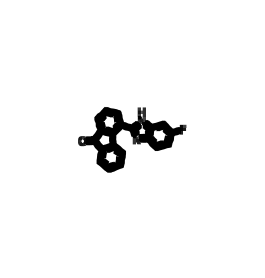 O=C1c2ccccc2-c2c1cccc2-c1nc2ccc(F)cc2[nH]1